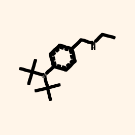 CCNCc1ccc(N(C(C)(C)C)C(C)(C)C)cc1